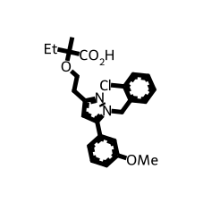 CCC(C)(OCCc1cc(-c2cccc(OC)c2)n(Cc2ccccc2Cl)n1)C(=O)O